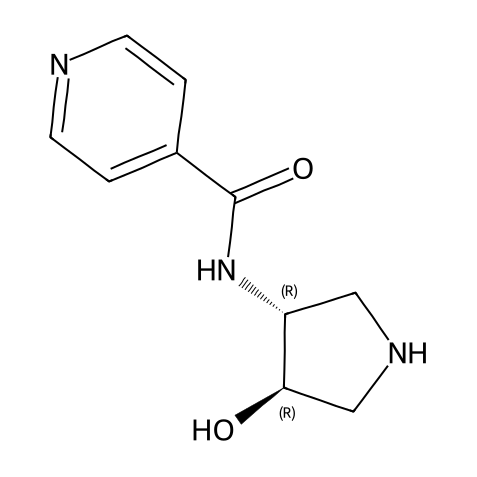 O=C(N[C@@H]1CNC[C@H]1O)c1ccncc1